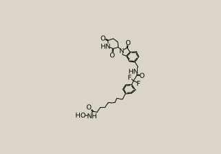 O=C(CCCCCCCc1ccc(C(F)(F)C(=O)NCc2ccc3c(c2)CN(C2CCC(=O)NC2=O)C3=O)cc1)NO